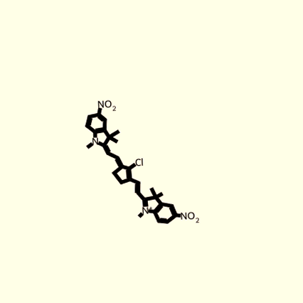 CN1/C(=C/C=C2\CCC(/C=C/C3=[N+](C)c4ccc([N+](=O)[O-])cc4C3(C)C)=C2Cl)C(C)(C)c2cc([N+](=O)[O-])ccc21